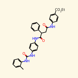 CCOC(=O)c1ccc(NC(=O)CC(C(=O)Nc2ccc(NC(=O)Nc3ccccc3C)cc2)c2ccccc2)cc1